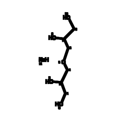 OCC(O)COCC(O)CO.[NaH]